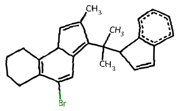 CC1=CC2C(=C1C(C)(C)C1C=Cc3ccccc31)C=C(Br)C1=C2CCCC1